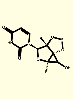 C[C@@]12OSO[C@@]13C(O)[C@@]3(F)O[C@H]2n1ccc(=O)[nH]c1=O